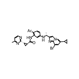 CC(=O)c1ccc(N[C@H](C)c2cn3cc(C4CC4)cc(Br)c3n2)cc1NC(=O)[C@H]1C[C@@H]1c1nccc(C)n1